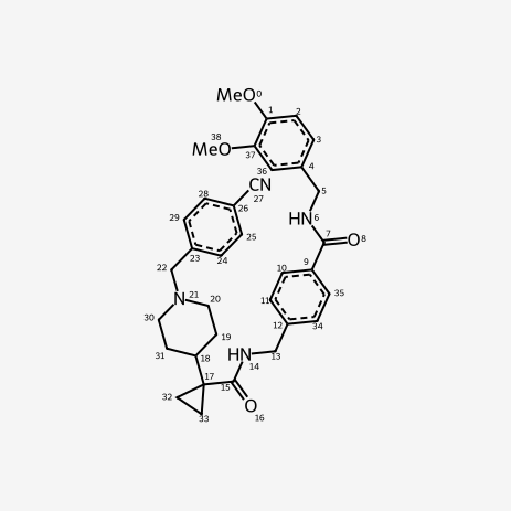 COc1ccc(CNC(=O)c2ccc(CNC(=O)C3(C4CCN(Cc5ccc(C#N)cc5)CC4)CC3)cc2)cc1OC